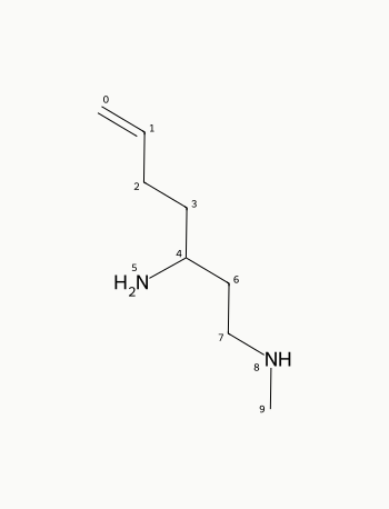 C=CCCC(N)CCNC